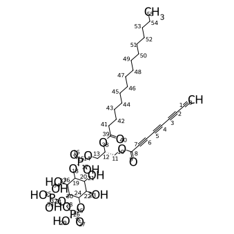 C#CC#CC#CC#CC(=O)OC[C@H](COP(=O)(O)OC1C(O)[C@@H](O)C(OP(=O)(O)O)[C@@H](OP(=O)(O)O)[C@H]1O)OC(=O)CCCCCCCCCCCCCCC